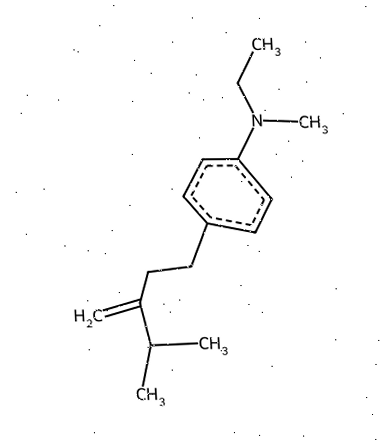 C=C(CCc1ccc(N(C)CC)cc1)C(C)C